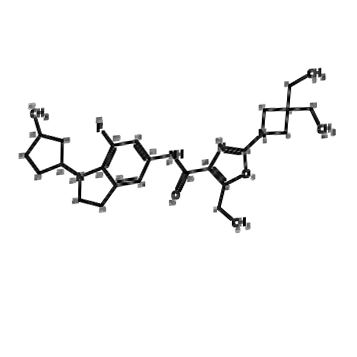 CCc1oc(N2CC(CC)(CC)C2)nc1C(=O)Nc1cc(F)c2c(c1)CCN2C1CCC(C)C1